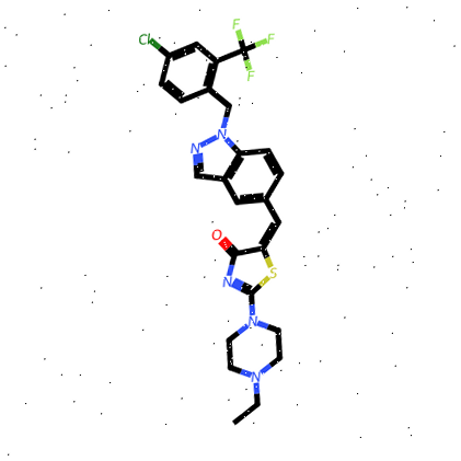 CCN1CCN(C2=NC(=O)C(=Cc3ccc4c(cnn4Cc4ccc(Cl)cc4C(F)(F)F)c3)S2)CC1